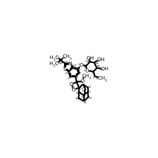 CCC1OC(Oc2cc(C3(OC)OOC34C3CC5CC(C3)CC4C5)cc3sc(C(C)(C)C)nc23)C(O)C(O)C1O